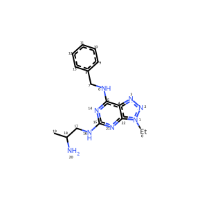 CCn1nnc2c(NCc3ccccc3)nc(NCC(C)N)nc21